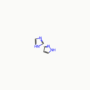 [c]1cc[nH]n1.c1c[nH]cn1